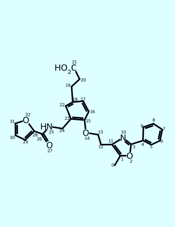 Cc1oc(-c2ccccc2)nc1CCOc1ccc(CCC(=O)O)cc1CNC(=O)c1ccco1